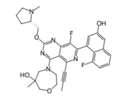 CC#Cc1nc(-c2cc(O)cc3cccc(F)c23)c(F)c2nc(OC[C@@H]3CCCN3C)nc(N3CCOCC(C)(O)C3)c12